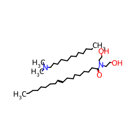 CCCCCCCC/C=C/CCCCCCCC(=O)N(CCO)CCO.CCCCCCCCCCCCN(C)C